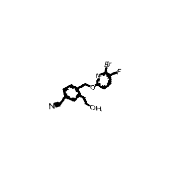 N#Cc1ccc(COc2ccc(F)c(Br)n2)c(CCO)c1